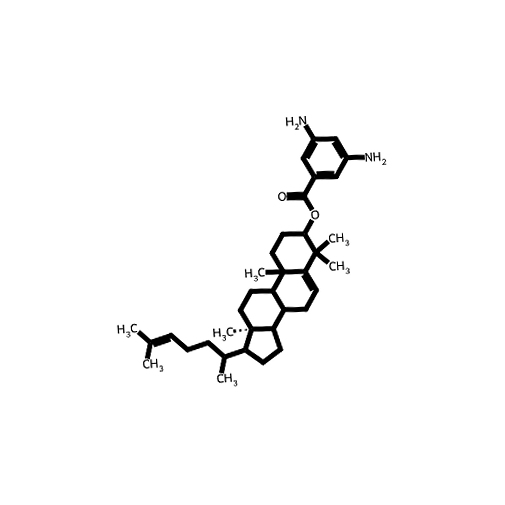 CC(C)=CCCC(C)C1CCC2C3CC=C4C(C)(C)C(OC(=O)c5cc(N)cc(N)c5)CCC4(C)C3CC[C@]12C